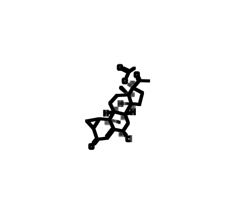 CC(=O)O[C@]1(C(C)=O)CC[C@H]2[C@@H]3C[C@@H](Cl)C4=CC(=O)C5CC5[C@@]4(C)[C@@H]3CC[C@@]21C